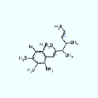 B/C=C/C(B)C(B)/C(B)=C/c1c(B)c(B)c(B)c(Br)c1B